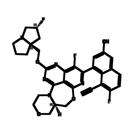 C#Cc1c(F)ccc2cc(O)cc(-c3nc4c5c(nc(OC[C@@]67CCCN6C[C@H](F)C7)nc5c3F)N3CCOC[C@@H]3CO4)c12